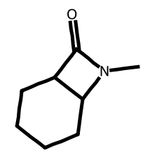 CN1C(=O)C2CCCCC21